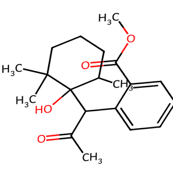 COC(=O)c1ccccc1C(C(C)=O)C1(O)C(C)CCCC1(C)C